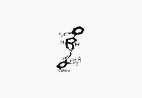 COc1ccc(NCN2C[C@H]3C[C@@H](c4ccccc4C(F)(F)F)C[C@H]3C2)c(C(=O)O)c1